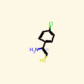 N/C(=C\S)c1ccc(Cl)cc1